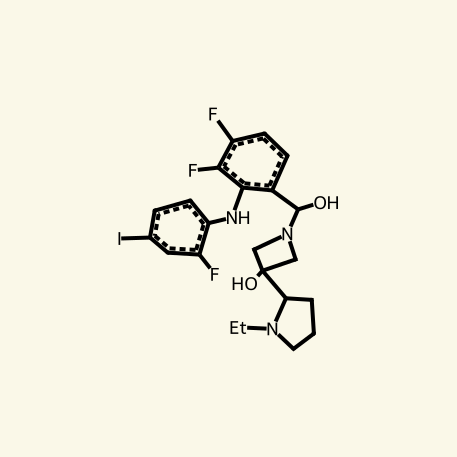 CCN1CCCC1C1(O)CN(C(O)c2ccc(F)c(F)c2Nc2ccc(I)cc2F)C1